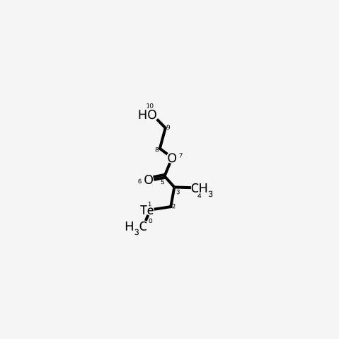 C[Te]CC(C)C(=O)OCCO